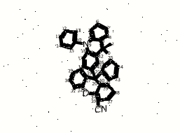 CC1(C)c2ccccc2N(c2ccccc2)c2ccc(C3(c4ccccc4)c4ccccc4Oc4c(C#N)cccc43)cc21